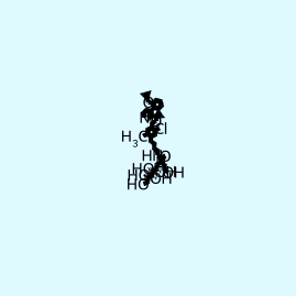 Cc1cc(COC2(c3cnccc3-c3ccccc3OC3CC3)CC2)c(Cl)cc1CCCCNC(=O)N(CCO)C[C@H](O)[C@@H](O)[C@H](O)[C@H](O)CO